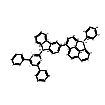 c1ccc(-c2nc(-c3ccccc3)nc(-n3c4ccccc4c4cc(-c5ccc6c7c5ccc5cccc(c57)n6-c5ccccc5)ccc43)n2)cc1